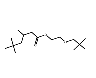 CC(CC(=O)OCCOCC(C)(C)C)CC(C)(C)C